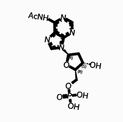 CC(=O)Nc1ncnc2c1ncn2[C@H]1C[C@H](O)[C@@H](COP(=O)(O)O)O1